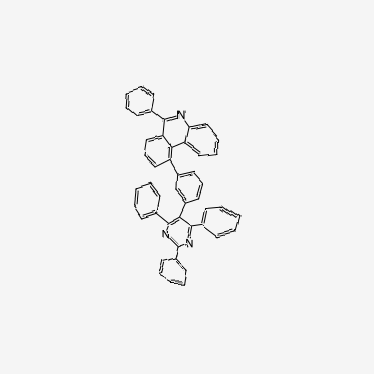 c1ccc(-c2nc(-c3ccccc3)c(-c3cccc(-c4cccc5c(-c6ccccc6)nc6ccccc6c45)c3)c(-c3ccccc3)n2)cc1